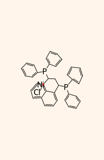 [Cl][Ni][CH](CC(c1cccc2ccccc12)P(c1ccccc1)c1ccccc1)P(c1ccccc1)c1ccccc1